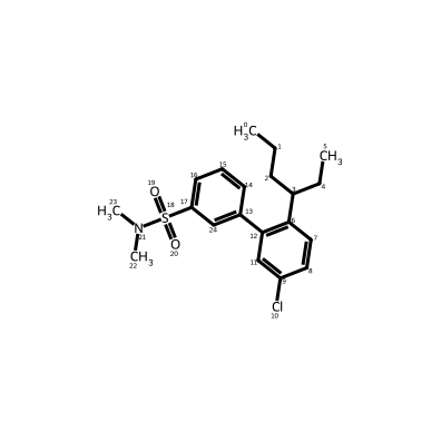 CCCC(CC)c1ccc(Cl)cc1-c1cccc(S(=O)(=O)N(C)C)c1